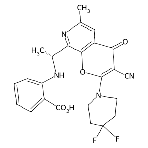 Cc1cc2c(=O)c(C#N)c(N3CCC(F)(F)CC3)oc2c([C@@H](C)Nc2ccccc2C(=O)O)n1